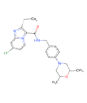 CCc1nc2cc(Cl)ccn2c1C(=O)NCc1ccc(N2CC(C)OC(C)C2)cc1